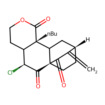 C=C1C(=O)[C@]23CC[C@H]1CC2[C@@]1(CCCC)C(=O)OCCC1[C@H](Cl)C3=O